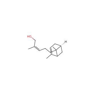 CC1=CC[C@H]2CC1C2(C)CC/C=C(/C)CO